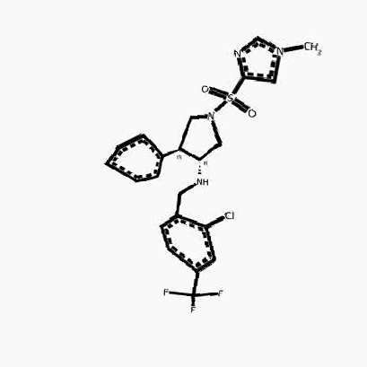 Cn1cnc(S(=O)(=O)N2C[C@H](NCc3ccc(C(F)(F)F)cc3Cl)[C@@H](c3ccccc3)C2)c1